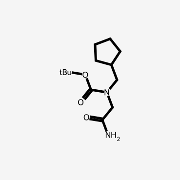 CC(C)(C)OC(=O)N(CC(N)=O)CC1CCCC1